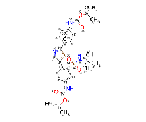 CC(C)OC(=O)Nc1ccc(-c2cnc(C34CCC(NC(=O)OC(C)C)(CC3)CC4)s2)c(S(=O)(=O)NC(C)(C)C)c1